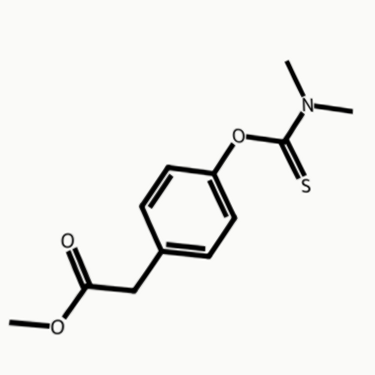 COC(=O)Cc1ccc(OC(=S)N(C)C)cc1